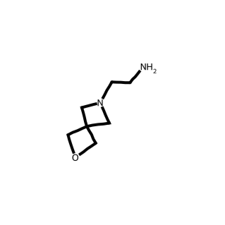 NCCN1CC2(COC2)C1